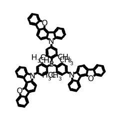 Cc1cc(-n2c3ccccc3c3c4oc5ccccc5c4ccc32)cc(C)c1B(c1c(C)cc(-n2c3ccccc3c3c4oc5ccccc5c4ccc32)cc1C)c1c(C)cc(-n2c3ccccc3c3c4oc5ccccc5c4ccc32)cc1C